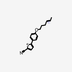 C/C=C/CCCOc1ccc(-c2ccc(C#N)s2)cc1